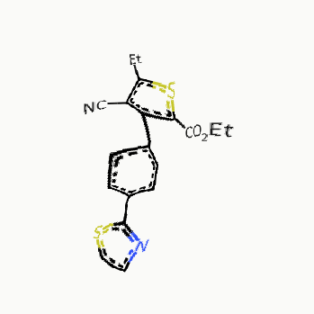 CCOC(=O)c1sc(CC)c(C#N)c1-c1ccc(-c2nccs2)cc1